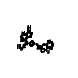 CN(Cc1cnccn1)SC[C@H]1C[C@@H](N(C)c2ncnc3[nH]ccc23)C1